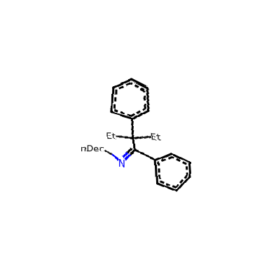 CCCCCCCCCCN=C(c1ccccc1)C(CC)(CC)c1ccccc1